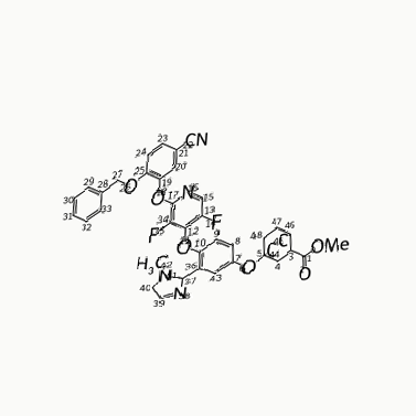 COC(=O)C1CC2(Oc3ccc(Oc4c(F)cnc(Oc5cc(C#N)ccc5OCc5ccccc5)c4F)c(C4N=CCN4C)c3)CCC1CC2